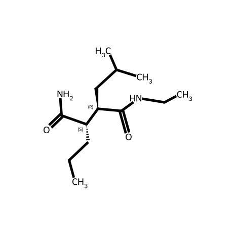 CCC[C@H](C(N)=O)[C@@H](CC(C)C)C(=O)NCC